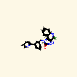 Cc1ccc(-c2cccc(Cn3c(=O)[nH]c4c(Cl)nc5ccccc5c43)c2)nc1